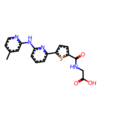 Cc1ccnc(Nc2cccc(-c3ccc(C(=O)NCC(=O)O)s3)n2)c1